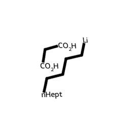 O=C(O)CC(=O)O.[Li][CH2]CCCCCCCCCC